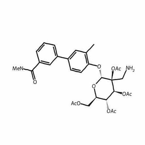 CNC(=O)c1cccc(-c2ccc(O[C@H]3O[C@H](COC(C)=O)[C@@H](OC(C)=O)[C@H](OC(C)=O)[C@]3(CN)OC(C)=O)c(C)c2)c1